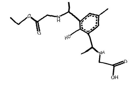 CCOC(=O)CNC(C)c1cc(C)cc(C(C)NCC(=O)O)c1O